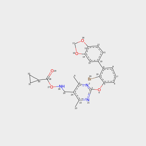 Cc1nc(Oc2cccc(-c3ccc4c(c3)OCO4)c2Br)nc(C)c1CNOC(=O)C1CC1